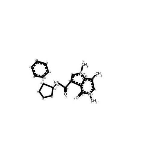 Cc1cn(C)c(=O)c2c(C(=O)N[C@H]3CCC[C@@H]3c3ccccc3)cn(C)c12